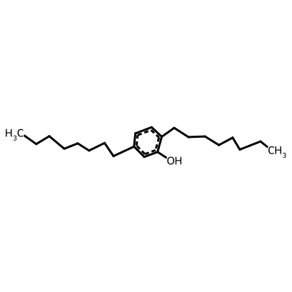 CCCCCCCCc1ccc(CCCCCCCC)c(O)c1